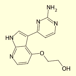 Nc1nccc(-c2c[nH]c3nccc(OCCO)c23)n1